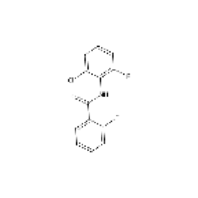 O=C(Nc1c(F)cccc1Cl)c1ccccc1F